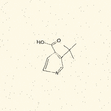 CC(C)(C)c1cnccc1C(=O)O